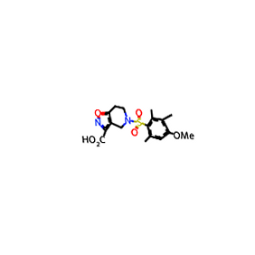 COc1cc(C)c(S(=O)(=O)N2CCc3onc(C(=O)O)c3C2)c(C)c1C